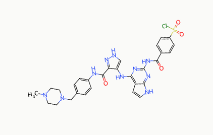 CN1CCN(Cc2ccc(NC(=O)c3n[nH]cc3Nc3nc(NC(=O)c4ccc(S(=O)(=O)Cl)cc4)nc4[nH]ccc34)cc2)CC1